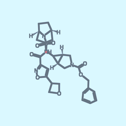 O=C(NC1C[C@H]2CC[C@@H](C1)N2S(=O)(=O)CC1[C@H]2CN(C(=O)OCc3ccccc3)C[C@@H]12)c1cc(C2COC2)on1